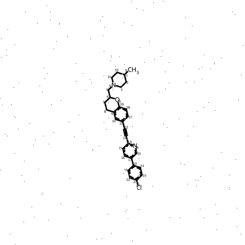 CC1CCN(CC2CCc3cc(C#Cc4ccc(-c5ccc(Cl)cc5)cn4)ccc3O2)CC1